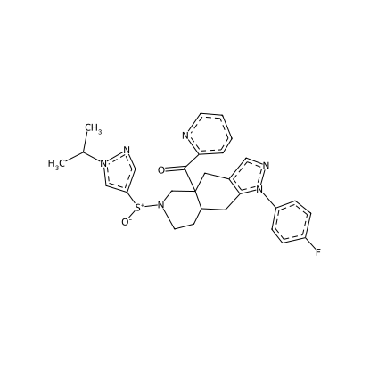 CC(C)n1cc([S+]([O-])N2CCC3Cc4c(cnn4-c4ccc(F)cc4)CC3(C(=O)c3ccccn3)C2)cn1